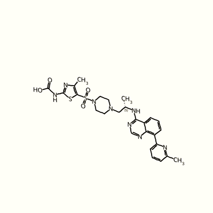 Cc1cccc(-c2cccc3c(N[C@@H](C)CN4CCN(S(=O)(=O)c5sc(NC(=O)O)nc5C)CC4)ncnc23)n1